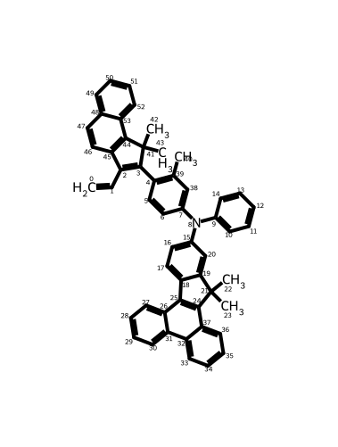 C=CC1=C(c2ccc(N(c3ccccc3)c3ccc4c(c3)C(C)(C)c3c-4c4ccccc4c4ccccc34)cc2C)C(C)(C)c2c1ccc1ccccc21